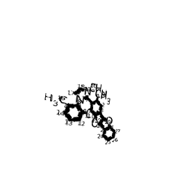 Cc1cc2c(cc1-c1n(-c3c(C)cccc3C)cc[n+]1C)oc1c3ccccc3oc21